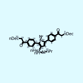 CCCCCCCCCCCC(=O)c1ccc(C2=CC(CCCCCC)=C(c3ccc(C(=O)CCCCCCCCCCC)cc3)[N+]2=[N-])cc1.CC[CH2][Ni][CH2]CC